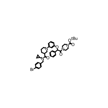 CC(C)(C)OC(=O)N1CCN(C(=O)C(Oc2cccc(N3CCCC(C(=O)N(Cc4ccc(Br)cc4)C4CC4)C3)c2)c2ccccc2)CC1